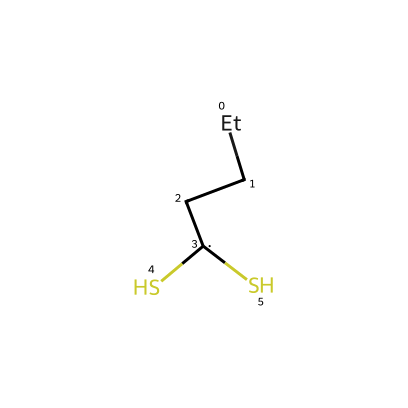 CCCC[C](S)S